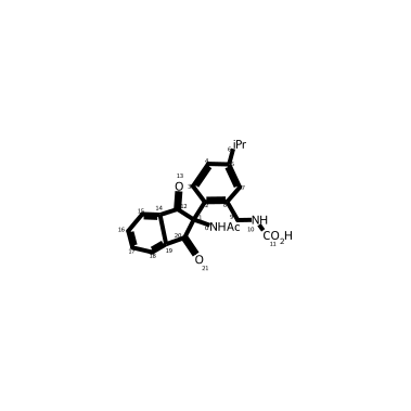 CC(=O)NC1(c2ccc(C(C)C)cc2CNC(=O)O)C(=O)c2ccccc2C1=O